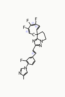 Cc1cn(-c2ccc(/C=C/c3nc4n(n3)CCCC43/C=C/C(F)=C(F)\C(F)=C/C3)cc2F)cn1